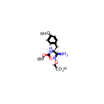 COc1ccc(C[C@H](NC(=O)OC(C)(C)C)/C(N)=N/OCC(=O)O)cc1